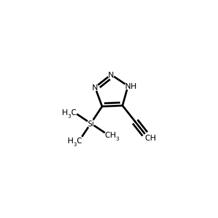 C#Cc1[nH]nnc1[Si](C)(C)C